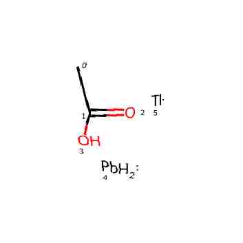 CC(=O)O.[PbH2].[Tl]